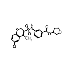 CC1=C(S(=O)(=O)Nc2cccc(C(=O)OC3CCOC3)c2)CSc2ccc(Cl)cc21